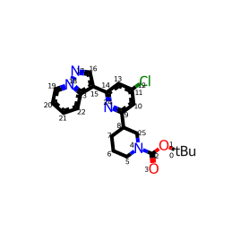 CC(C)(C)OC(=O)N1CCCC(c2cc(Cl)cc(-c3cnn4ccccc34)n2)C1